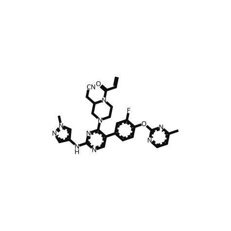 C=CC(=O)N1CCN(c2nc(Nc3cnn(C)c3)ncc2-c2ccc(Oc3nccc(C)n3)c(F)c2)CC1CC#N